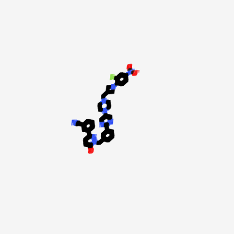 N#Cc1cccc(-c2ccc(=O)n(Cc3cccc(-c4ncc(N5CCN(CC6CN(c7ccc([N+](=O)[O-])cc7F)C6)CC5)cn4)c3)n2)c1